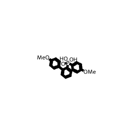 COc1ccc(-c2ccccc2P(O)(O)(O)c2ccc(OC)cc2)cc1